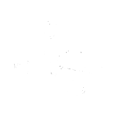 Cc1nscc1-c1cc(-c2csnc2C)c2nc(C)n(C(c3ccccc3)(c3ccccc3)c3ccccc3)c2c1